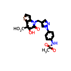 CS(=O)(=O)Nc1ccc(-n2cc(Cn3c(=O)c(O)c(C(=O)O)c4sccc43)cn2)cc1